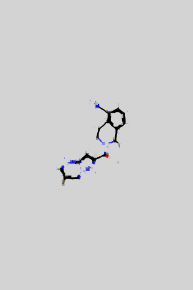 CC1c2cccc(C#N)c2CCN1C(=O)c1cc2ncc(Br)cn2n1